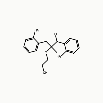 CCCc1ccccc1CC(C)(OCCO)C(CC)c1ccccc1CCC